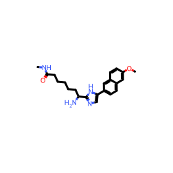 CNC(=O)CCCCCC(N)c1ncc(-c2ccc3cc(OC)ccc3c2)[nH]1